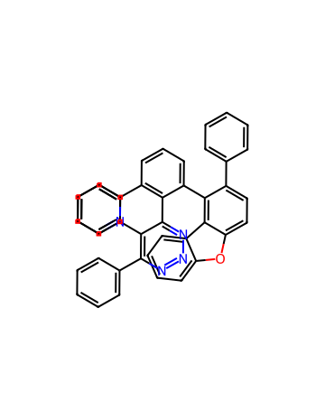 c1ccc(-c2ccc3oc4ccccc4c3c2-c2cccc(-c3ccccn3)c2-c2nnnc(-c3ccccc3)c2-c2ccccc2)cc1